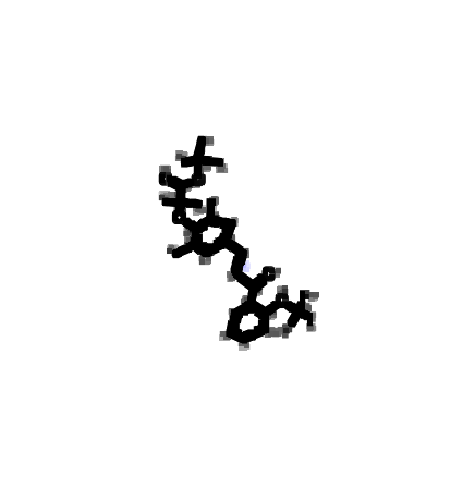 Cc1cc(/C=C/C(=O)c2ccccc2OC(F)(F)F)cc(C)c1OC(C)(C)C(=O)OC(C)(C)C